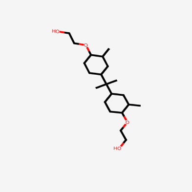 CC1CC(C(C)(C)C2CCC(OCCO)C(C)C2)CCC1OCCO